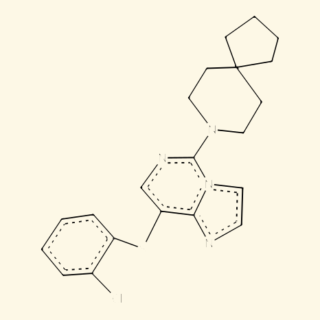 Clc1ccccc1Sc1cnc(N2CCC3(CCCC3)CC2)n2ccnc12